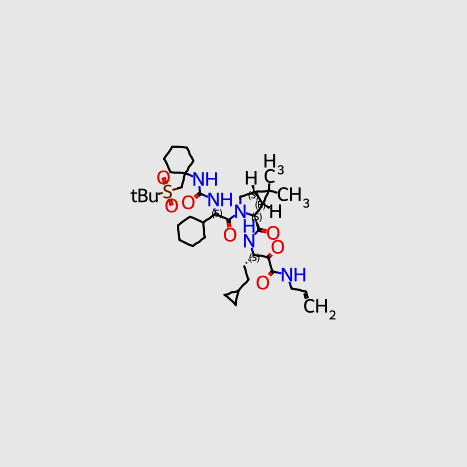 C=CCNC(=O)C(=O)[C@H](CCC1CC1)NC(=O)[C@@H]1[C@@H]2[C@H](CN1C(=O)[C@@H](NC(=O)NC1(CS(=O)(=O)C(C)(C)C)CCCCC1)C1CCCCC1)C2(C)C